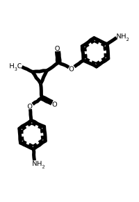 CC1C(C(=O)Oc2ccc(N)cc2)C1C(=O)Oc1ccc(N)cc1